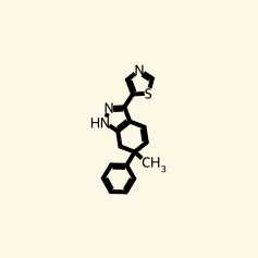 CC1(c2ccccc2)C=Cc2c(-c3cncs3)n[nH]c2C1